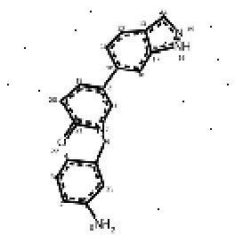 Nc1cccc(Cn2cc(-c3ccc4cn[nH]c4c3)ccc2=O)c1